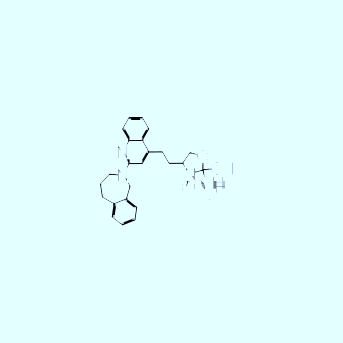 CC1(C)OCC(CCc2cc(N3CCCc4ccccc4C3)nc3ccccc23)N1C(=O)O